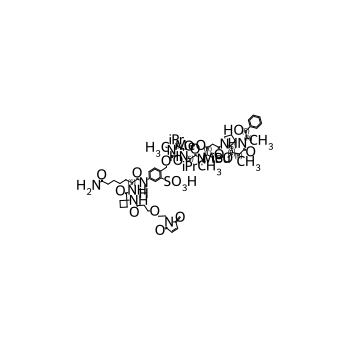 CCC(C)C([C@@H](CC(=O)N1CCC[C@H]1[C@H](OC)[C@@H](C)C(=O)N[C@H](C)[C@@H](O)c1ccccc1)OC)N(C)C(=O)[C@@H](NC(=O)[C@H](C(C)C)N(C)C(=O)OCc1ccc(NC(=O)[C@H](CCCCC(N)=O)NC(=O)C2(NC(=O)CCOCCN3C(=O)C=CC3=O)CCC2)cc1S(=O)(=O)O)C(C)C